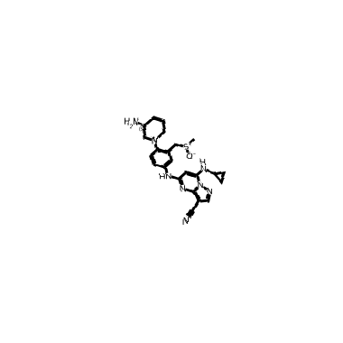 C[S+]([O-])Cc1cc(Nc2cc(NC3CC3)n3ncc(C#N)c3n2)ccc1N1CCC[C@H](N)C1